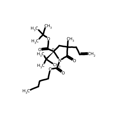 C=CCC1(C)C[C@](C(=O)OC(C)(C)C)(C(C)(C)C)N(C(=O)OCCCC)C1=O